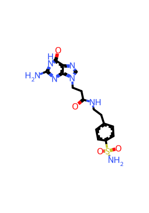 Nc1nc2c(ncn2CCC(=O)NCCc2ccc(S(N)(=O)=O)cc2)c(=O)[nH]1